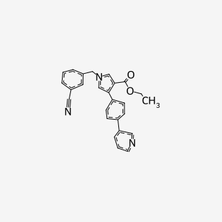 CCOC(=O)c1cn(Cc2cccc(C#N)c2)cc1-c1ccc(-c2cccnc2)cc1